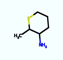 CC1SCCCC1N